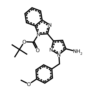 COc1ccc(Cn2nc(-c3nc4ccccc4n3C(=O)OC(C)(C)C)cc2N)cc1